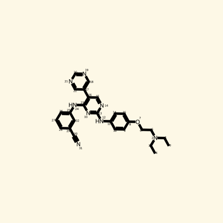 CCN(CC)CCOc1ccc(Nc2ncc(-c3cncnc3)c(Nc3cccc(C#N)c3)n2)cc1